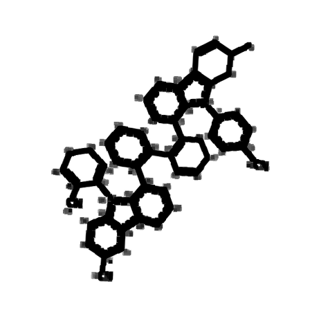 CC1C=Cc2c(n(-c3ccc(C#N)cc3)c3c(C4=C(c5ccccc5-c5cccc6c7cc(C#N)ccc7n(C7=CCCC=C7C#N)c56)C=CCC4)cccc23)C1